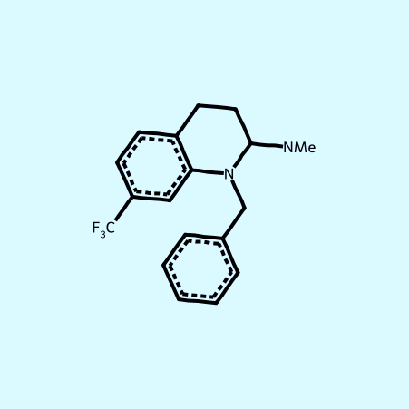 CNC1CCc2ccc(C(F)(F)F)cc2N1Cc1ccccc1